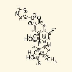 C[C@@H]1C[C@H]2[C@H]3C[C@H](F)C4=CC(=O)C(OC(=O)c5cncs5)=C[C@]4(C)[C@@]3(F)[C@@H](O)C[C@]2(C)[C@@H]1C(O)=S